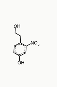 O=[N+]([O-])c1cc(O)ccc1CCO